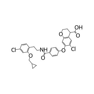 O=C(NCCc1ccc(Cl)cc1OCC1CC1)c1ccc(Oc2cc3c(cc2Cl)C(C(=O)O)CCO3)cc1